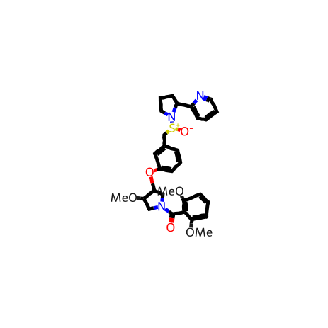 COc1cccc(OC)c1C(=O)N1CC(OC)C(Oc2cccc(C[S+]([O-])N3CCCC3c3ccccn3)c2)C1